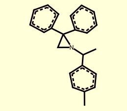 Cc1ccc(C(C)N2CC2(c2ccccc2)c2ccccc2)cc1